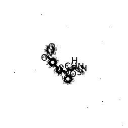 C[C@H](C(=O)Nc1nncs1)[C@@H](c1ccccc1)c1ccc(-c2ccc(C(=O)N3CCOCC3)cc2)s1